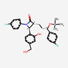 CC(C)(C)[Si](C)(C)O[C@@H](CC[C@H]1C(=O)N(c2ccc(F)cc2)[C@@H]1c1ccc(CO)cc1O)c1ccc(F)cc1